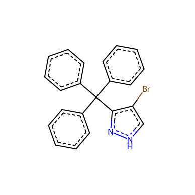 Brc1c[nH]nc1C(c1ccccc1)(c1ccccc1)c1ccccc1